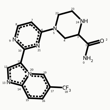 NC(=O)C1CN(c2ccnc(-c3cnc4ccc(C(F)(F)F)cn34)n2)CCN1